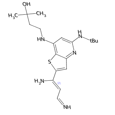 CC(C)(O)CCNc1cc(NC(C)(C)C)nc2cc(/C(N)=C/C=N)sc12